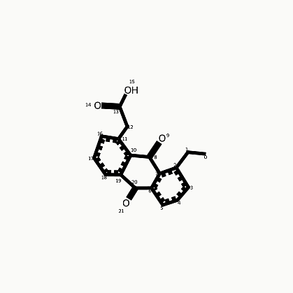 CCc1cccc2c1C(=O)c1c(CC(=O)O)cccc1C2=O